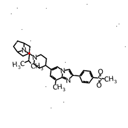 Cc1cc(C2CCN(C3CC4CCC(C3)N4CC(C)C)CC2)cn2cc(-c3ccc(S(C)(=O)=O)cc3)nc12